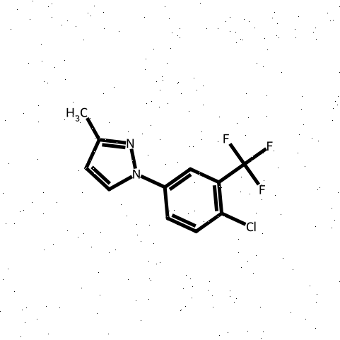 Cc1ccn(-c2ccc(Cl)c(C(F)(F)F)c2)n1